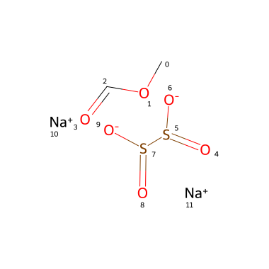 COC=O.O=S([O-])S(=O)[O-].[Na+].[Na+]